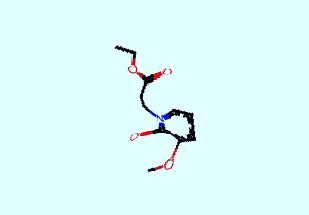 CCOC(=O)Cn1cccc(OC)c1=O